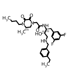 CCCCN1C(=O)C(=O)N(CC(=O)N[C@@H](Cc2cc(F)cc(F)c2)[C@@H](O)CNCc2cccc(CC)c2)C[C@@H]1C